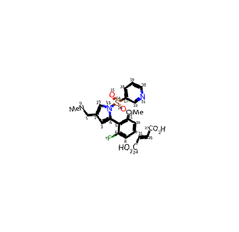 CNCc1cc(-c2c(F)cccc2OC)n(S(=O)(=O)c2cccnc2)c1.O=C(O)C=CC(=O)O